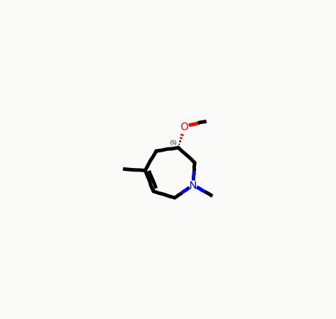 CO[C@H]1CC(C)=CCN(C)C1